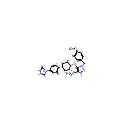 COc1ccc(Cn2nnc(C(=O)O)c2O[C@H]2CC[C@H](c3ccc(-n4cnnc4)cc3)CC2)cc1